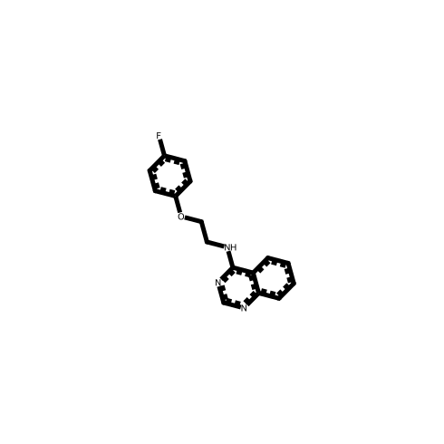 Fc1ccc(OCCNc2ncnc3ccccc23)cc1